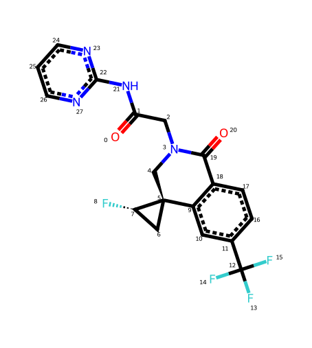 O=C(CN1C[C@]2(C[C@@H]2F)c2cc(C(F)(F)F)ccc2C1=O)Nc1ncccn1